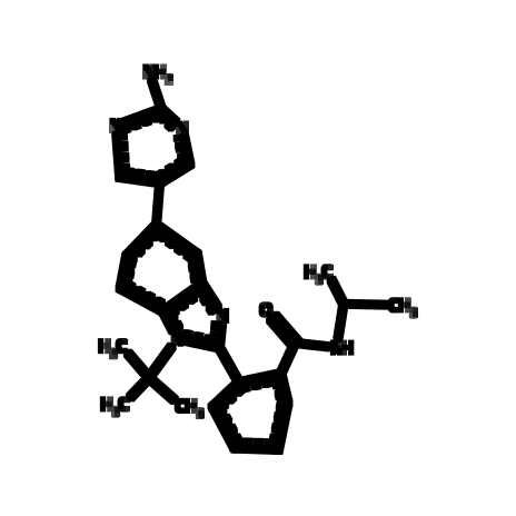 CC(C)NC(=O)c1ccccc1-c1nc2cc(-c3cnc(N)nc3)ccc2n1C(C)(C)C